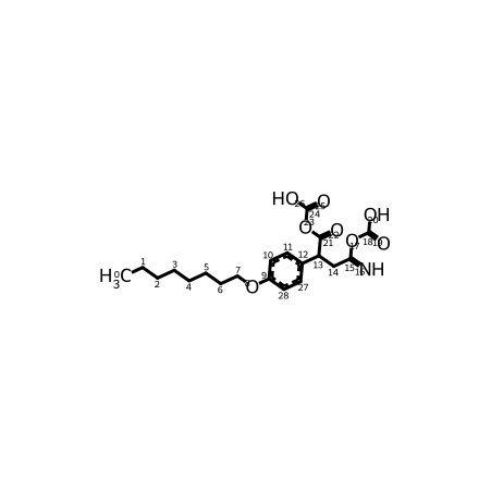 CCCCCCCCOc1ccc(C(CC(=N)OC(=O)O)C(=O)OC(=O)O)cc1